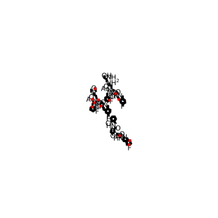 CC(=O)N(NCc1cccc(F)c1Cl)[C@H](COC(=O)Nc1cc2cc(F)ccc2cn1)CC(=O)N1CCOCC1.CC(=O)N(NCc1cccc(F)c1Cl)[C@H](COC(=O)Nc1cc2cc(F)ccc2cn1)CC(=O)NC[C@@H](N)CO.O=C(Nc1cc2cc(F)ccc2cn1)OC[C@@H]1[C@@H](O)CCN1C(=O)NCc1cccc(F)c1Cl